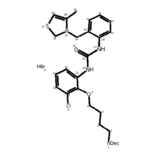 Br.CCCCCCCCCCCCCCOc1c(Cl)cccc1NC(=O)Nc1ccccc1CN1CSC=C1C